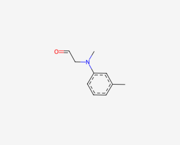 Cc1cccc(N(C)CC=O)c1